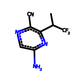 CC(c1nc(N)cnc1C#N)C(F)(F)F